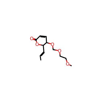 CC=CC1OC(=O)C=CC1OCOCCOC